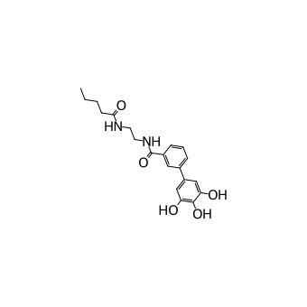 CCCCC(=O)NCCNC(=O)c1cccc(-c2cc(O)c(O)c(O)c2)c1